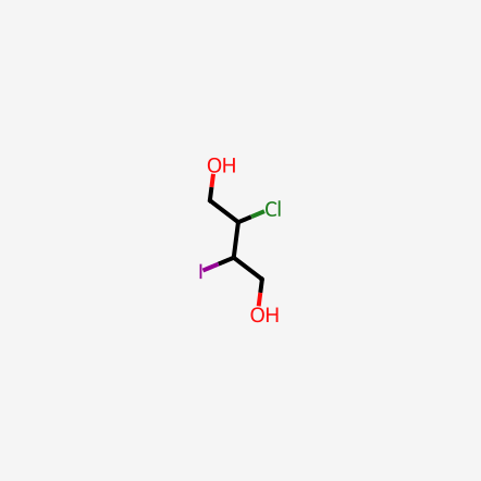 OCC(Cl)C(I)CO